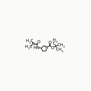 CN(C)C(=O)NC1CCN(C(=O)OC(C)(C)C)C1